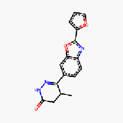 CC1CC(=O)NN=C1c1ccc2nc(-c3ccco3)oc2c1